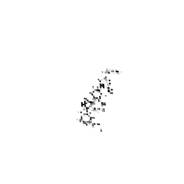 CC(=O)NC[C@H]1CN(c2ccc3c(c2)CCCc2c(-c4ccnc(C(F)(F)F)c4)noc2-3)C(=O)O1